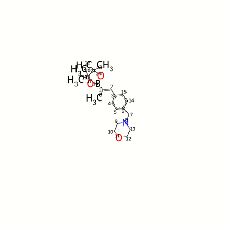 C/C(=C\c1ccc(CN2CCOCC2)cc1)B1OC(C)(C)C(C)(C)O1